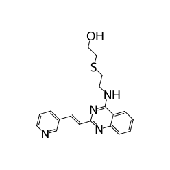 OCCSCCNc1nc(/C=C/c2cccnc2)nc2ccccc12